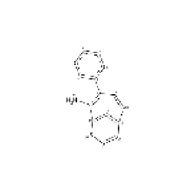 NC1=C(c2ccccc2)C=CC2=C=C1SC=C2